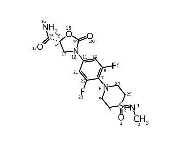 CN=S1(=O)CCN(c2c(F)cc(N3C[C@H](C(N)=O)OC3=O)cc2F)CC1